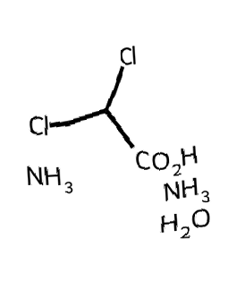 N.N.O.O=C(O)C(Cl)Cl